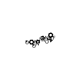 COc1ccc(-n2cc(-n3ccc(NC(=O)C4(c5ccccc5F)CC4)n3)cn2)c(OC)c1